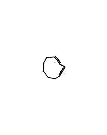 [CH]1CC/C=C\C=C\CC1